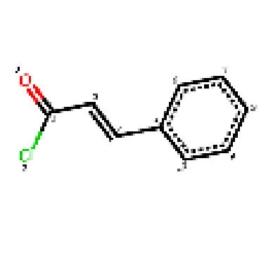 O=C(Cl)C=Cc1cc[c]cc1